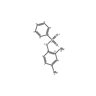 CC(C)(C)c1ccc(OS(=O)(=O)c2ccccc2)c(C(C)(C)C)c1